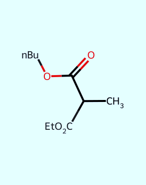 C[CH]OC(=O)C(C)C(=O)OCCCC